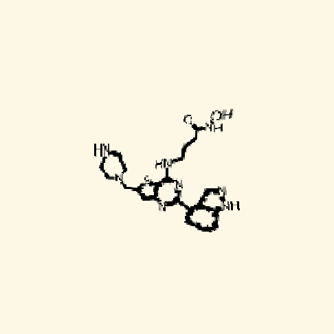 O=C(CCCNc1nc(-c2cccc3[nH]ncc23)nc2cc(CN3CCNCC3)sc12)NO